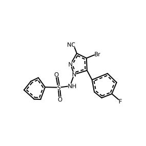 N#Cc1nn(NS(=O)(=O)c2ccccc2)c(-c2ccc(F)cc2)c1Br